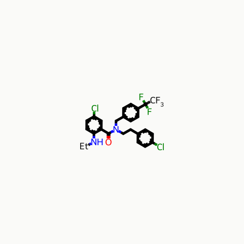 CCNc1ccc(Cl)cc1C(=O)N(CCc1ccc(Cl)cc1)Cc1ccc(C(F)(F)C(F)(F)F)cc1